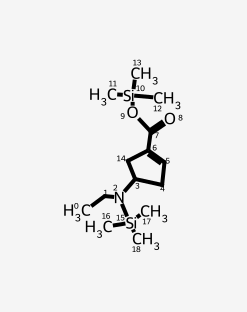 CCN(C1CC=C(C(=O)O[Si](C)(C)C)C1)[Si](C)(C)C